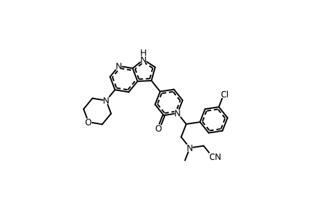 CN(CC#N)CC(c1cccc(Cl)c1)n1ccc(-c2c[nH]c3ncc(N4CCOCC4)cc23)cc1=O